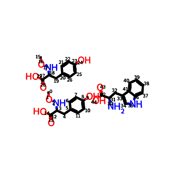 CONC(Cc1ccc(O)cc1)C(=O)O.CONC(Cc1ccc(O)cc1)C(=O)O.NC(Cc1c[nH]c2ccccc12)C(=O)O